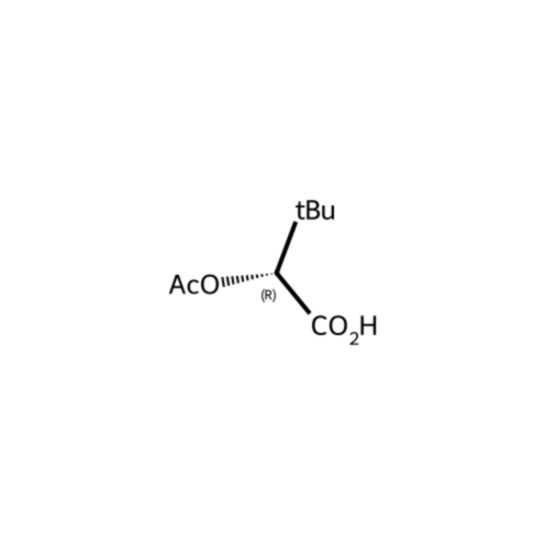 CC(=O)O[C@@H](C(=O)O)C(C)(C)C